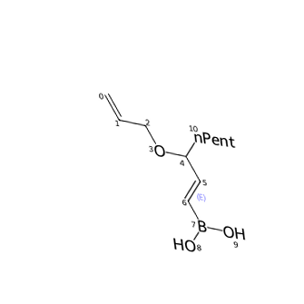 C=CCOC(/C=C/B(O)O)CCCCC